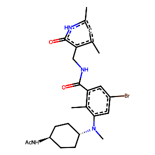 CC(=O)N[C@H]1CC[C@H](N(C)c2cc(Br)cc(C(=O)NCc3c(C)cc(C)[nH]c3=O)c2C)CC1